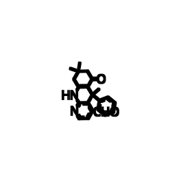 CC1(C)CC(=O)C2=C(C1)Nc1nccc(C=O)c1C2(C)c1ccccc1